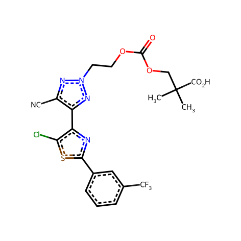 CC(C)(COC(=O)OCCn1nc(C#N)c(-c2nc(-c3cccc(C(F)(F)F)c3)sc2Cl)n1)C(=O)O